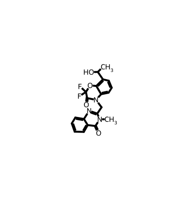 CC(O)c1cccc2c1OC(F)(F)C(=O)N2Cc1nc2ccccc2c(=O)n1C